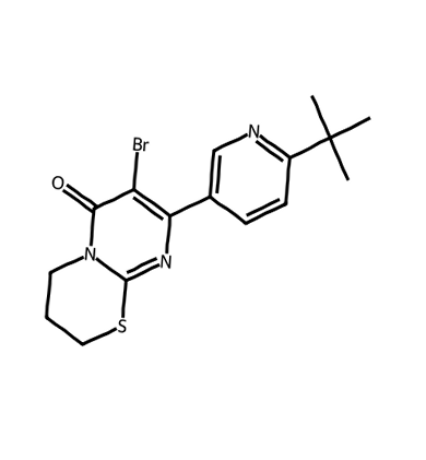 CC(C)(C)c1ccc(-c2nc3n(c(=O)c2Br)CCCS3)cn1